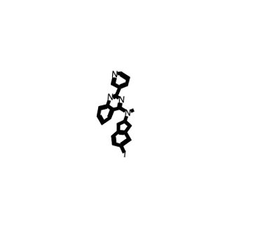 CN(c1nc(-c2cccnc2)nc2ccccc12)C1Cc2ccc(I)cc2C1